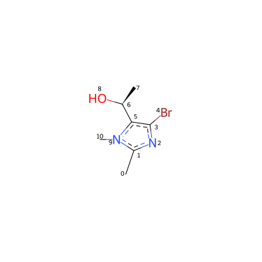 Cc1nc(Br)c([C@H](C)O)n1C